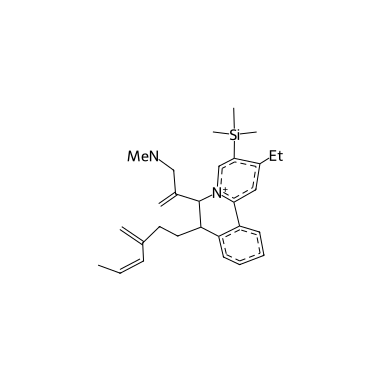 C=C(/C=C\C)CCC1c2ccccc2-c2cc(CC)c([Si](C)(C)C)c[n+]2C1C(=C)CNC